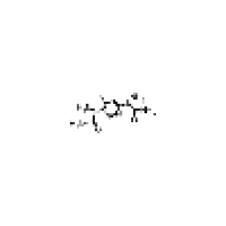 Cc1cc(N(N)C(N)=O)ncc1N(N)C(N)=O